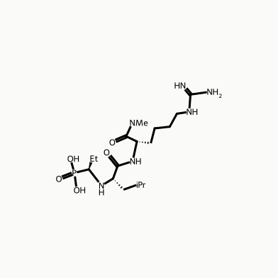 CC[C@@H](N[C@@H](CC(C)C)C(=O)N[C@@H](CCCCNC(=N)N)C(=O)NC)P(=O)(O)O